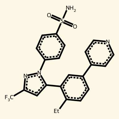 CCc1ccc(-c2ccncc2)cc1-c1cc(C(F)(F)F)nn1-c1ccc(S(N)(=O)=O)cc1